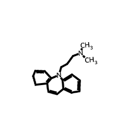 CN(C)CCCN1C2=C(C=Cc3ccccc31)CCC=C2